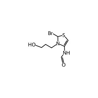 O=CNC1=CSC(Br)N1CCCO